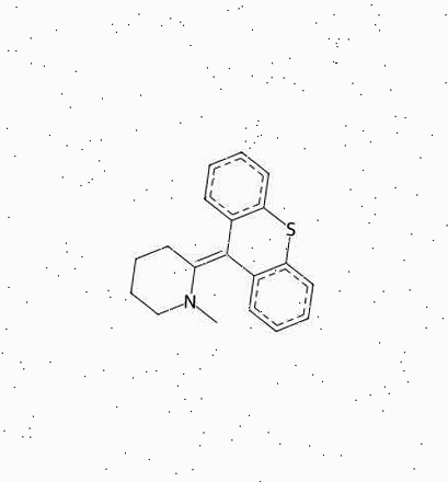 CN1CCCCC1=C1c2ccccc2Sc2ccccc21